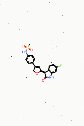 CS(=O)(=O)Nc1ccc(C2=CC(=C3C(=O)Nc4cc(F)ccc43)OC2)cc1